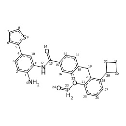 Nc1ccc(-c2cccs2)cc1NC(=O)c1ccc(Cc2c(O[PH2]=O)cccc2C2CCC2)cc1